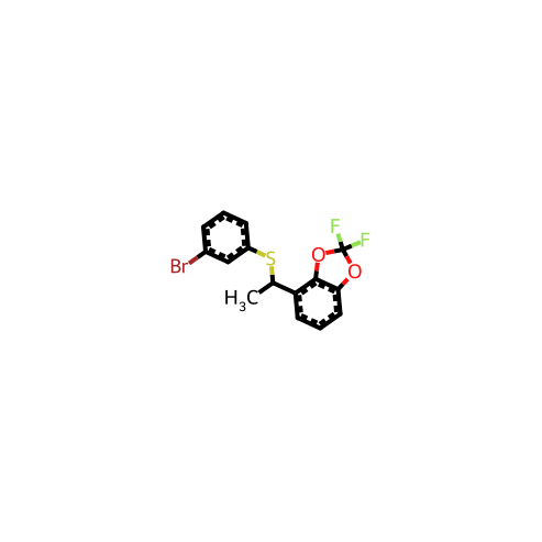 CC(Sc1cccc(Br)c1)c1cccc2c1OC(F)(F)O2